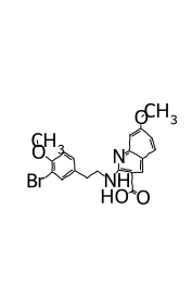 COc1ccc2cc(C(=O)O)c(NCCc3ccc(OC)c(Br)c3)nc2c1